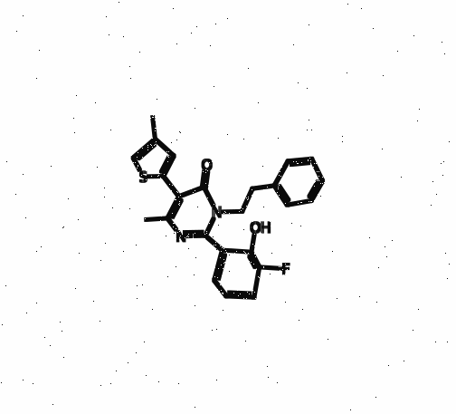 Cc1csc(-c2c(C)nc(-c3cccc(F)c3O)n(CCc3ccccc3)c2=O)c1